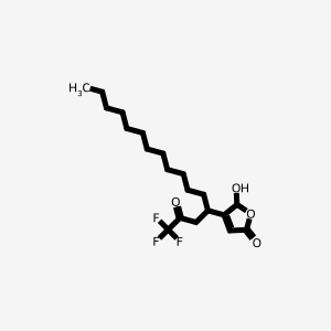 CCCCCCCCCCCCC(CC(=O)C(F)(F)F)C1=CC(=O)OC1O